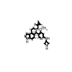 COc1cc(NC2CNC2)ncc1C1c2ccc3[nH]ncc3c2CCN1CC1(F)CC1